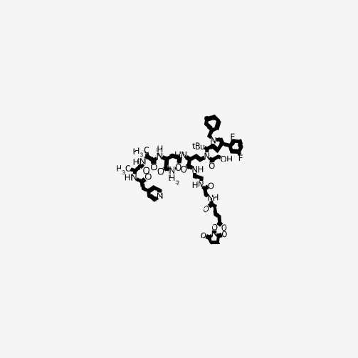 CC(NC(=O)Cc1ccncc1)C(=O)NC(C)C(=O)NC(CC(=O)NC(CCN(C(=O)CO)C(c1cc(-c2cc(F)ccc2F)cn1Cc1ccccc1)C(C)(C)C)C(=O)NCCNC(=O)CNC(=O)CCCC(=O)ON1C(=O)CCC1=O)C(N)=O